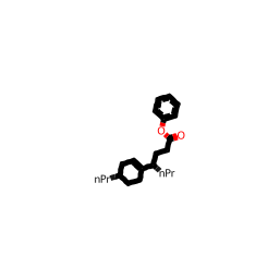 CCCC1CC=C(C(CCC)CCC(=O)Oc2ccccc2)CC1